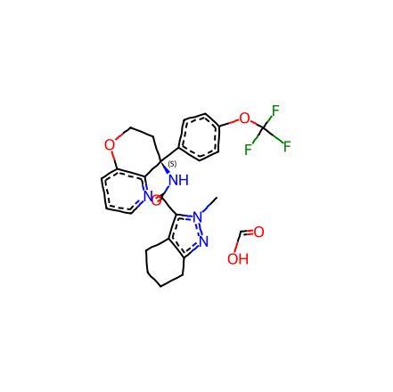 Cn1nc2c(c1C(=O)N[C@]1(c3ccc(OC(F)(F)F)cc3)CCOc3cccnc31)CCCC2.O=CO